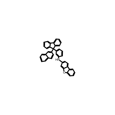 c1cc(Nc2ccc3c(c2)oc2ccccc23)cc(C2(c3ccc4ccccc4c3)c3ccccc3-c3ccccc32)c1